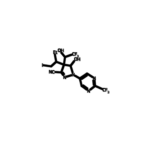 CCC(CI)C1(C(O)C(F)(F)F)C(C#N)=NN(c2cnc(C(F)(F)F)nc2)C1O